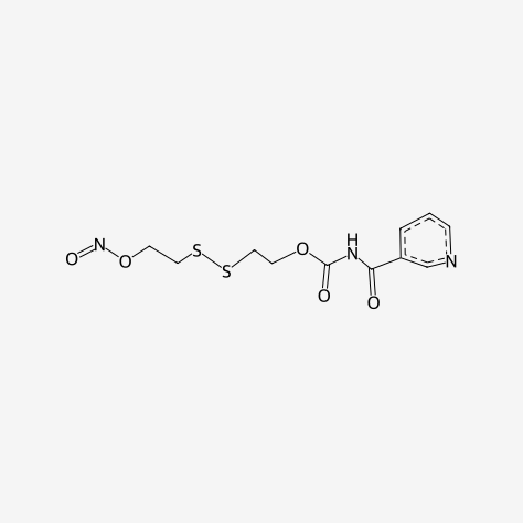 O=NOCCSSCCOC(=O)NC(=O)c1cccnc1